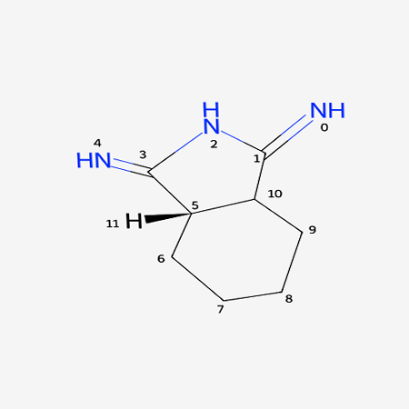 N=C1NC(=N)[C@H]2CCCCC12